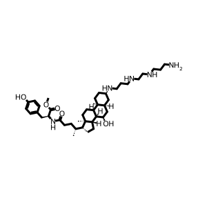 COC(=O)[C@H](Cc1ccc(O)cc1)NC(=O)CC[C@@H](C)[C@H]1CC[C@H]2[C@@H]3[C@H](O)C[C@@H]4C[C@@H](NCCCNCCNCCCN)CC[C@]4(C)[C@H]3CC[C@]12C